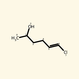 CC(O)CCC=CCl